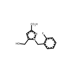 O=C(O)c1cc(CO)n(Cc2ccccc2F)n1